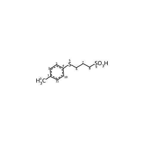 Cc1ccc(SCCCS(=O)(=O)O)cc1